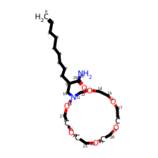 C=CCCCCCCCC(CN1COCCOCCOCCOCCOCCO1)C(N)=O